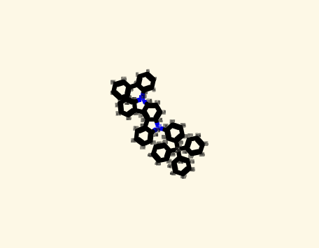 c1ccc(-c2ccccc2-n2c3ccccc3c3c4c5ccccc5n(-c5cccc([Si](c6ccccc6)(c6ccccc6)c6ccccc6)c5)c4ccc32)cc1